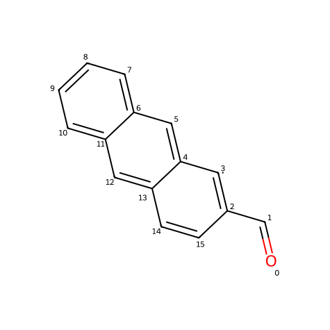 O=Cc1[c]c2cc3ccccc3cc2cc1